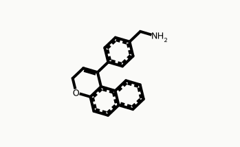 NCc1ccc(C2=CCOc3ccc4ccccc4c32)cc1